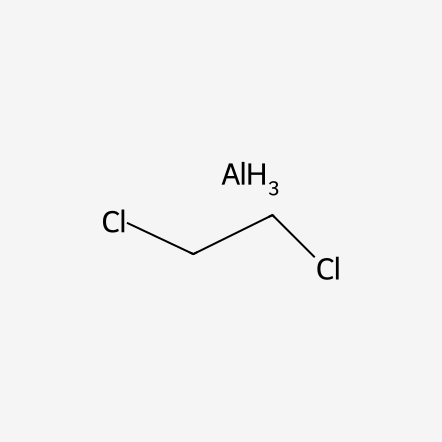 ClCCCl.[AlH3]